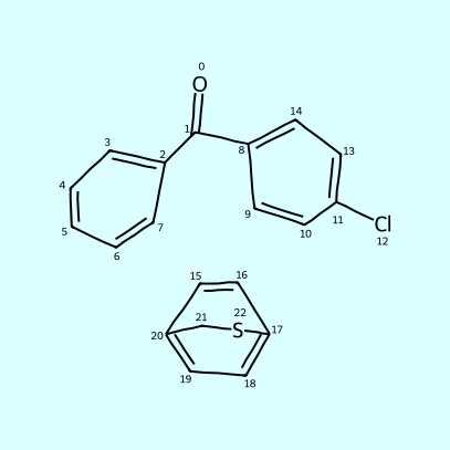 O=C(c1ccccc1)c1ccc(Cl)cc1.c1cc2ccc1CS2